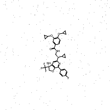 N[C@@]1(C(F)(F)F)COc2c1cc([C@@H](CNC(=O)c1ccc(OC3CC3)c(OC3CC3)c1)C1CC1)nc2-c1ccc(F)cc1